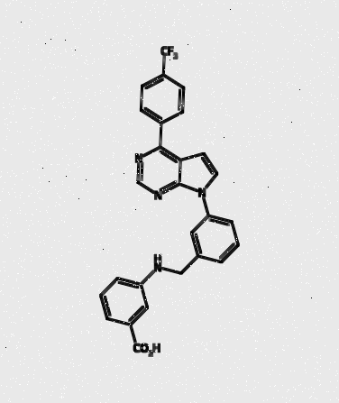 O=C(O)c1cccc(NCc2cccc(-n3ccc4c(-c5ccc(C(F)(F)F)cc5)ncnc43)c2)c1